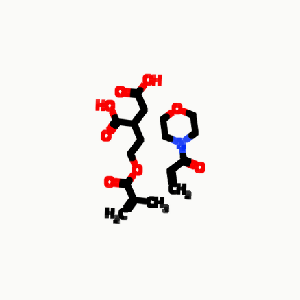 C=C(C)C(=O)OCCC(CC(=O)O)C(=O)O.C=CC(=O)N1CCOCC1